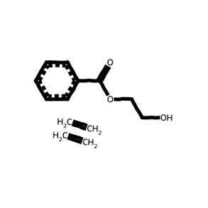 C=C.C=C.O=C(OCCO)c1ccccc1